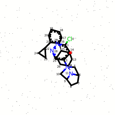 Clc1cc(N2CC3CCC(C2)N3[C@H]2CC[C@H](c3ccccc3C3CC3)CC2)cnn1